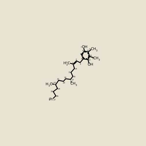 CC(=CCc1cc(O)c(C)c(C)c1O)CCC[C@H](C)CCC[C@H](C)CCCC(C)C